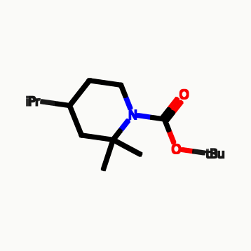 CC(C)C1CCN(C(=O)OC(C)(C)C)C(C)(C)C1